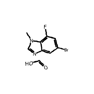 Cn1cnc2cc(Br)cc(F)c21.O=CO